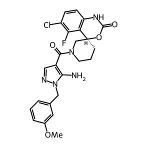 COc1cccc(Cn2ncc(C(=O)N3CCC[C@@]4(C3)OC(=O)Nc3ccc(Cl)c(F)c34)c2N)c1